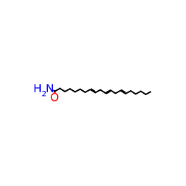 CCCCCC=CCC=CCC=CCCCCCCC(N)=O